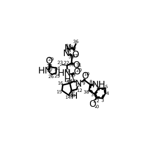 COc1cccc2[nH]c(C(=O)N3C[C@@H]4CCC[C@@H]4[C@H]3C(=O)N[C@@H](C[C@@H]3CCNC3=O)C(=O)c3nnc(C)o3)cc12